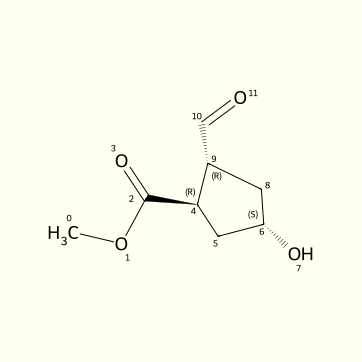 COC(=O)[C@@H]1C[C@@H](O)C[C@H]1C=O